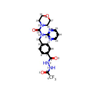 O=C(NNC(=O)C(F)(F)F)c1ccc(CN(C(=O)N2CCOCC2)c2ncccn2)cc1